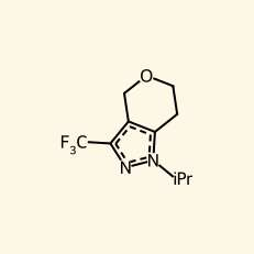 CC(C)n1nc(C(F)(F)F)c2c1CCOC2